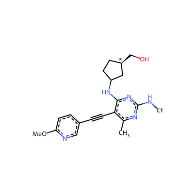 CCNc1nc(C)c(C#Cc2ccc(OC)nc2)c(NC2CC[C@@H](CO)C2)n1